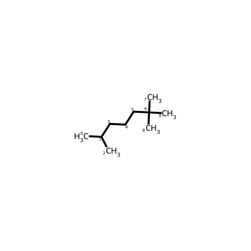 CC(C)CCCC(C)(C)C